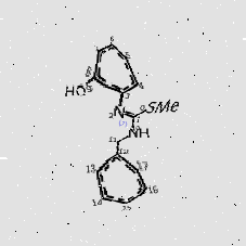 CS/C(=N\c1ccccc1O)NCc1ccccc1